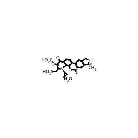 C[C@H]1NCc2cc(-c3ccc4c(=O)c(OC(=O)O)c(CS(=O)(=O)O)n(C5CC5)c4c3OC(F)F)ccc21.O